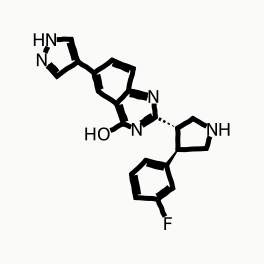 Oc1nc([C@@H]2CNC[C@H]2c2cccc(F)c2)nc2ccc(-c3cn[nH]c3)cc12